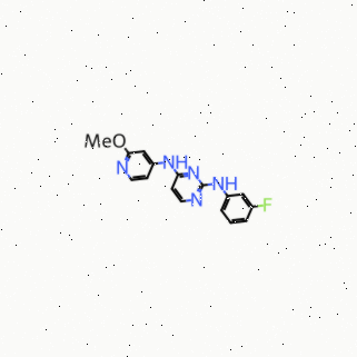 COc1cc(Nc2ccnc(Nc3cccc(F)c3)n2)ccn1